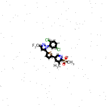 Cc1cc(-c2ccc(-c3cc(C(F)(F)F)nn3-c3cc(Cl)ccc3Cl)s2)cnc1S(C)(=O)=O